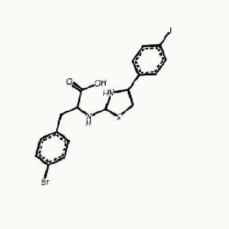 O=C(O)C(Cc1ccc(Br)cc1)NC1NC(c2ccc(I)cc2)CS1